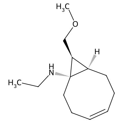 CCN[C@@]12CC/C=C\CC[C@@H]1[C@@H]2COC